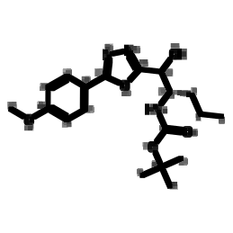 CCC[C@H](NC(=O)OC(C)(C)C)C(O)c1nnc(-c2ccc(OC)cc2)o1